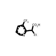 CCC(C(=O)O)c1ncccc1C(F)(F)F